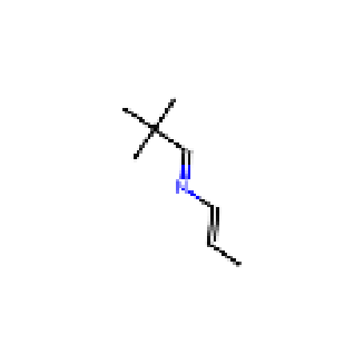 CC=CN=CC(C)(C)C